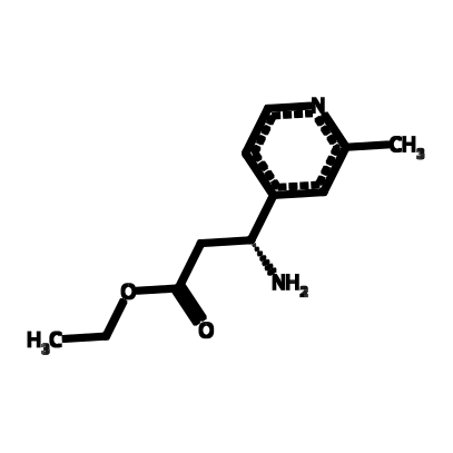 CCOC(=O)C[C@@H](N)c1ccnc(C)c1